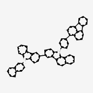 c1ccc2c(c1)-c1cccc3c(-c4ccc(-n5c6ccc(-c7ccc8c(c7)c7ccccc7n8-c7ccc8ccccc8c7)cc6c6ccc7ccccc7c65)cc4)ccc-2c13